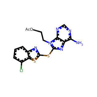 CC(=O)OCCn1c(Sc2nc3cccc(Cl)c3s2)nc2c(N)ncnc21